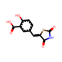 O=C1NC(=O)/C(=C/c2ccc(O)c(C(=O)O)c2)S1